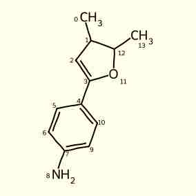 CC1C=C(c2ccc(N)cc2)OC1C